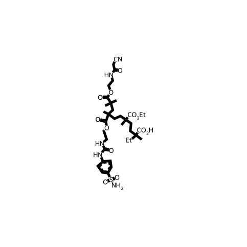 CCOC(=O)C(C)(CCC(C)(CC)C(=O)O)CCC(C)(CC(C)(C)C(=O)OCCNC(=O)CC#N)C(=O)OCCNC(=O)Nc1ccc(S(N)(=O)=O)cc1